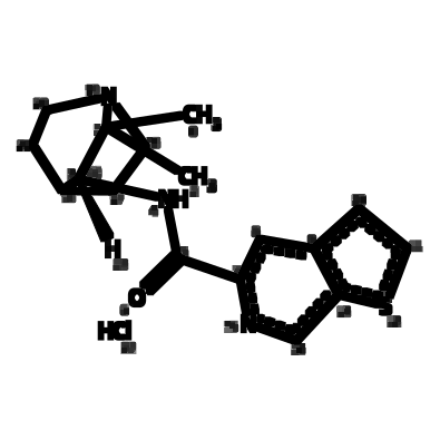 CC1(C)[C@H](NC(=O)c2cc3ccsc3cn2)C2CCN1CC2.Cl